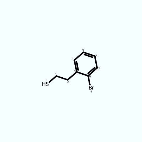 SCCc1ccccc1Br